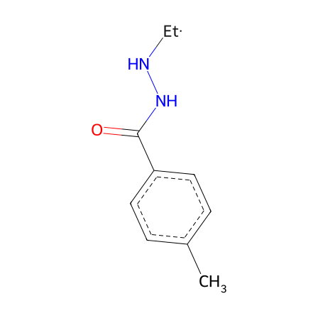 C[CH]NNC(=O)c1ccc(C)cc1